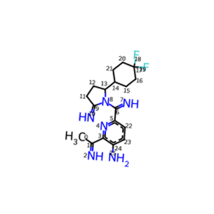 CC(=N)c1nc(C(=N)N2C(=N)CCC2C2CCC(F)(F)CC2)ccc1N